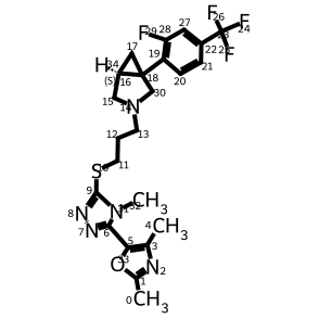 Cc1nc(C)c(-c2nnc(SCCCN3C[C@H]4CC4(c4ccc(C(F)(F)F)cc4F)C3)n2C)o1